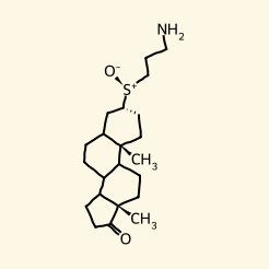 C[C@]12CC[C@@H]([S@@+]([O-])CCCN)CC1CCC1C2CC[C@]2(C)C(=O)CCC12